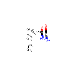 C.C.C.C.C.CC.N=C=O.N=C=O